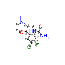 NC(=O)NCC1CNCCOC1c1ccc(F)c(Cl)c1